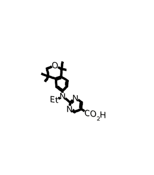 CCN(c1ccc2c(c1)C(C)(C)COC2(C)C)c1ncc(C(=O)O)cn1